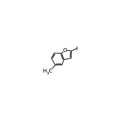 Cc1ccc2oc(I)cc2c1